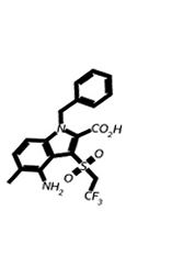 Cc1ccc2c(c1N)c(S(=O)(=O)CC(F)(F)F)c(C(=O)O)n2Cc1ccccc1